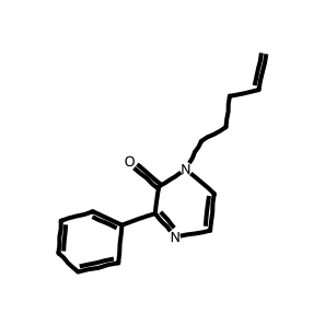 C=CCCCn1ccnc(-c2ccccc2)c1=O